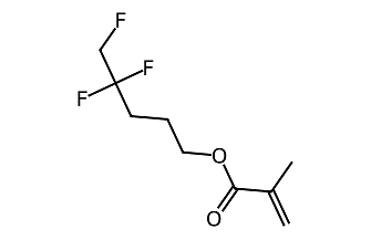 C=C(C)C(=O)OCCCC(F)(F)CF